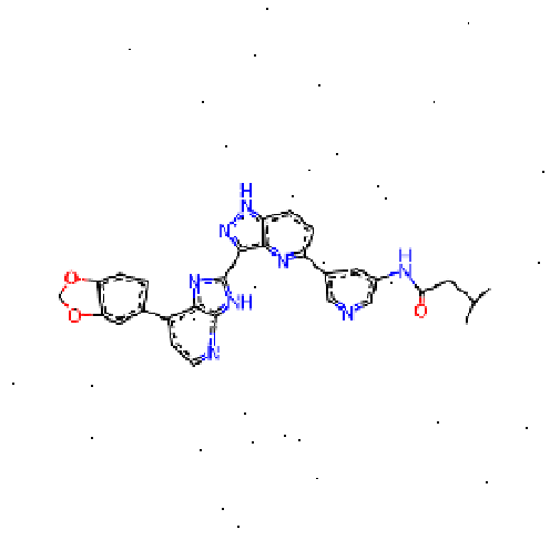 CC(C)CC(=O)Nc1cncc(-c2ccc3[nH]nc(-c4nc5c(-c6ccc7c(c6)OCO7)ccnc5[nH]4)c3n2)c1